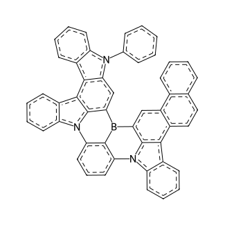 c1ccc(-n2c3ccccc3c3c4c5ccccc5n5c4c(cc32)B2c3c(cccc3-5)-n3c4ccccc4c4c5ccc6ccccc6c5cc2c43)cc1